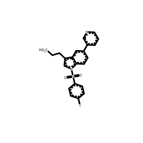 O=C(O)CCc1cn(S(=O)(=O)c2ccc(I)cc2)c2ccc(-c3cccnc3)cc12